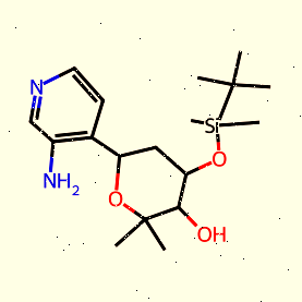 CC1(C)OC(c2ccncc2N)CC(O[Si](C)(C)C(C)(C)C)C1O